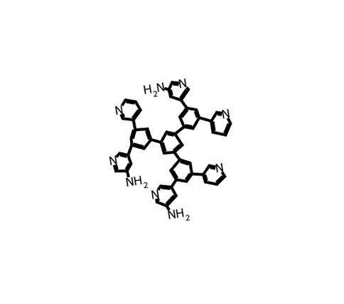 Nc1cncc(-c2cc(-c3cccnc3)cc(-c3cc(-c4cc(-c5cccnc5)cc(-c5cncc(N)c5)c4)cc(-c4cc(-c5cccnc5)cc(-c5cncc(N)c5)c4)c3)c2)c1